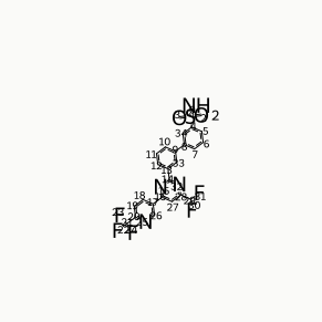 NS(=O)(=O)c1cccc(-c2cccc(-c3nc(-c4ccc(C(F)(F)F)nc4)cc(C(F)F)n3)c2)c1